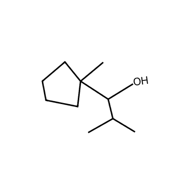 CC(C)C(O)C1(C)CCCC1